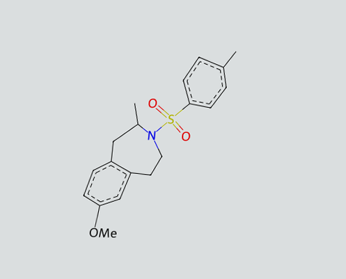 COc1ccc2c(c1)CCN(S(=O)(=O)c1ccc(C)cc1)C(C)C2